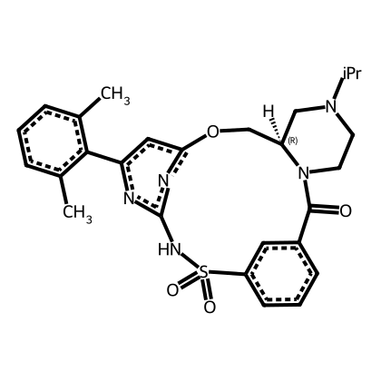 Cc1cccc(C)c1-c1cc2nc(n1)NS(=O)(=O)c1cccc(c1)C(=O)N1CCN(C(C)C)C[C@@H]1CO2